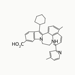 C=C(/C=C\c1c(C)ccc2c1NCCn1c-2c(C2CCCCC2)c2ccc(C(=O)O)cc21)c1cc(C)ccn1